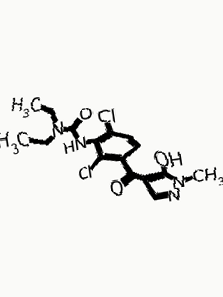 CCN(CC)C(=O)Nc1c(Cl)ccc(C(=O)c2cnn(C)c2O)c1Cl